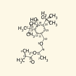 C=C(C)C(=O)OC(C)COCc1cc(C(C)(C)C)c(O)c(C(C)(C)C)c1